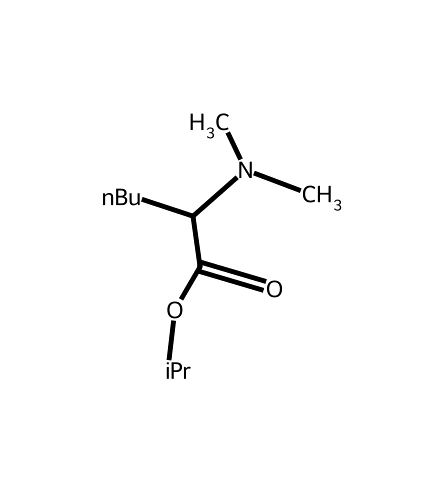 CCCCC(C(=O)OC(C)C)N(C)C